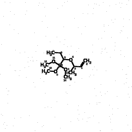 C=CC(C)OC(CC)[Si](OC)(OC)OC